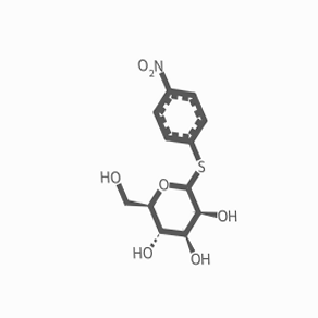 O=[N+]([O-])c1ccc(SC2O[C@H](CO)[C@@H](O)[C@H](O)[C@@H]2O)cc1